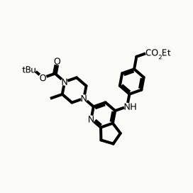 CCOC(=O)Cc1ccc(Nc2cc(N3CCN(C(=O)OC(C)(C)C)C(C)C3)nc3c2CCC3)cc1